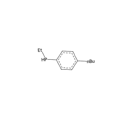 CCCCc1ccc(PCC)cc1